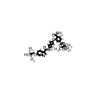 CC(C)(O)COc1ccc2c(C(=O)NC3CC4(C3)CC(Oc3cc(B5OC(C)(C)C(C)(C)O5)ccc3C(N)=O)C4)cnn2c1